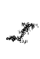 COc1cc(C(=O)N2C[C@H](N)CCN2C)cc2nc(-c3cc4ccc(C(C)(C)NC(=O)c5ccc(COc6cc(C(=O)O)cc7nc(-c8cc9ccc(C(C)(C)NC(=O)c%10ccccc%10)nc9n8CC8CC8)n(C)c67)cc5)nc4n3CC3CC3)n(C)c12